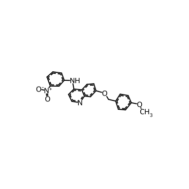 COc1ccc(COc2ccc3c(Nc4cccc([N+](=O)[O-])c4)ccnc3c2)cc1